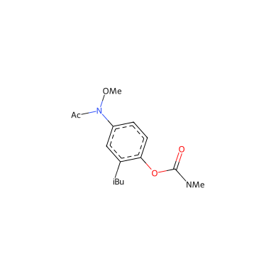 CCC(C)c1cc(N(OC)C(C)=O)ccc1OC(=O)NC